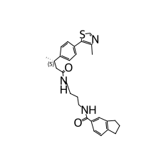 Cc1ncsc1-c1ccc([C@@H](C)CC(=O)NCCCCNC(=O)c2ccc3c(c2)CCC3)cc1